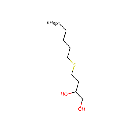 CCCCCCCCCCCSCCC(O)CO